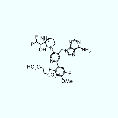 COc1cc(F)c(-c2cc(Cn3cnc4c(N)ncnc43)c(N3CCC[C@](N)([C@H](O)C(F)F)C3)cn2)cc1F.O=C(O)CCC(=O)O